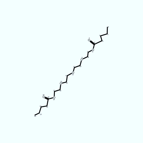 CCCCC(=O)OCCOCCOCCOCCOC(=O)CCCC